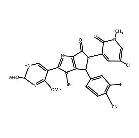 COC1=NC(OC)NC=C1c1nc2c(n1C(C)C)C(c1ccc(C#N)c(F)c1)N(c1cc(Cl)cn(C)c1=O)C2=O